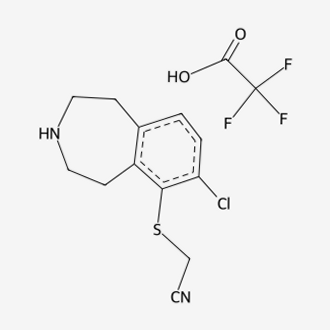 N#CCSc1c(Cl)ccc2c1CCNCC2.O=C(O)C(F)(F)F